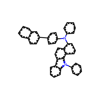 c1ccc(N(c2ccc(-c3ccc4ccccc4c3)cc2)c2cccc3c2ccc2c4ccccc4n(-c4ccccc4)c32)cc1